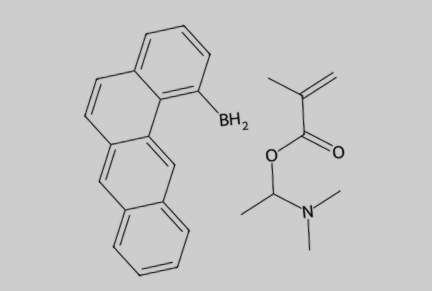 Bc1cccc2ccc3cc4ccccc4cc3c12.C=C(C)C(=O)OC(C)N(C)C